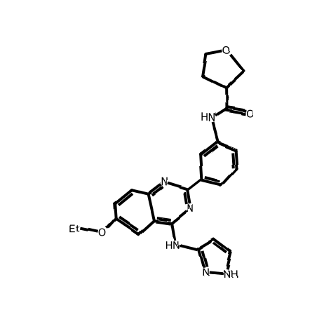 CCOc1ccc2nc(-c3cccc(NC(=O)C4CCOC4)c3)nc(Nc3cc[nH]n3)c2c1